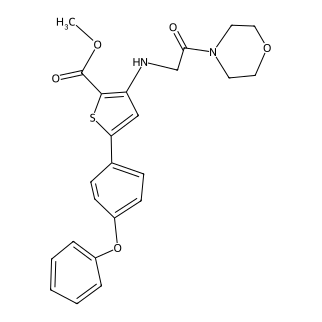 COC(=O)c1sc(-c2ccc(Oc3ccccc3)cc2)cc1NCC(=O)N1CCOCC1